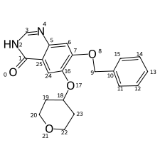 O=c1[nH]cnc2cc(OCc3ccccc3)c(OC3CCOCC3)cc12